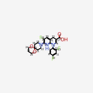 O=C(O)C1=CN(c2ccc(F)cc2F)C2NC(N3CCC4(CC3)OCCCO4)=C(F)C=C2C1